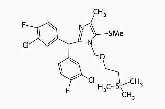 CSc1c(C)nc(C(c2ccc(F)c(Cl)c2)c2ccc(F)c(Cl)c2)n1COCC[Si](C)(C)C